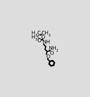 CC(C)(C)OC(=O)NCCCC(COCc1ccccc1)C(N)=O